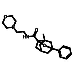 CC12CC3CC(c4ccccc4)(C1)CC2(C(=O)NCCN1CCOCC1)C3